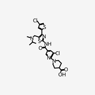 CC(C)N(C)Cc1sc(NC(=O)c2cnc(N3CCC(C(=O)O)CC3)c(Cl)c2)nc1-c1cc(Cl)cs1